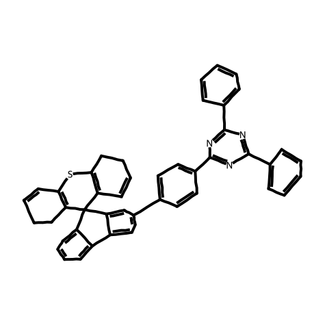 C1=CC2=C(CC1)SC1=C(CCC=C1)C21c2ccccc2-c2ccc(-c3ccc(-c4nc(-c5ccccc5)nc(-c5ccccc5)n4)cc3)cc21